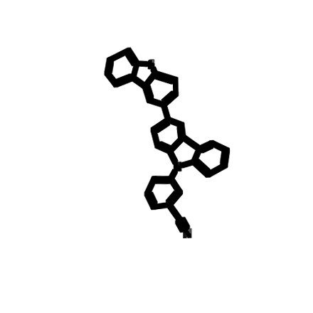 N#Cc1cccc(-n2c3ccccc3c3cc(-c4ccc5sc6ccccc6c5c4)ccc32)c1